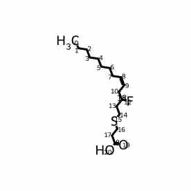 CCCCCCCC/C=C\CC([18F])CCSCCC(=O)O